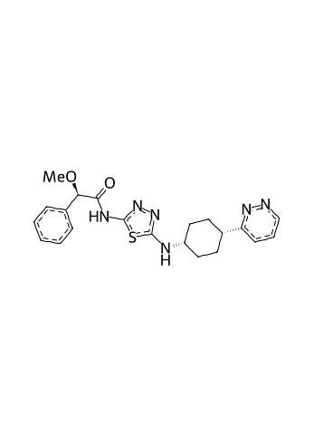 CO[C@@H](C(=O)Nc1nnc(N[C@H]2CC[C@@H](c3cccnn3)CC2)s1)c1ccccc1